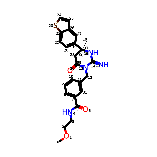 COCCNC(=O)c1cccc(CN2C(=N)N[C@](C)(c3ccc4sccc4c3)CC2=O)c1